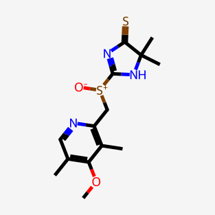 COc1c(C)cnc(C[S+]([O-])C2=NC(=S)C(C)(C)N2)c1C